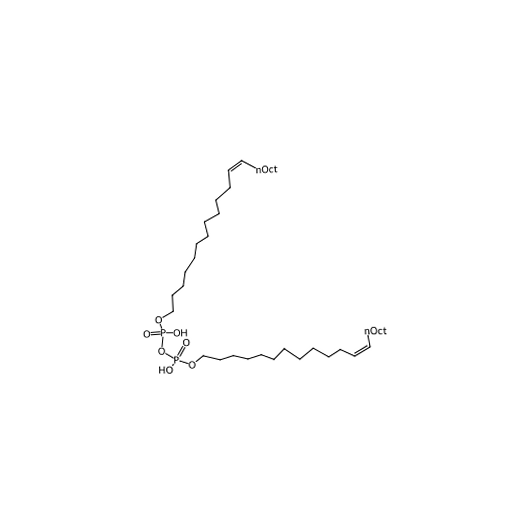 CCCCCCCC/C=C\CCCCCCCCCCCOP(=O)(O)OP(=O)(O)OCCCCCCCCCCC/C=C\CCCCCCCC